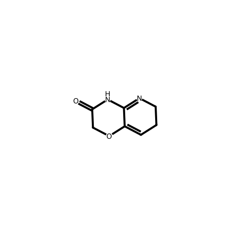 O=C1COC2=CCCN=C2N1